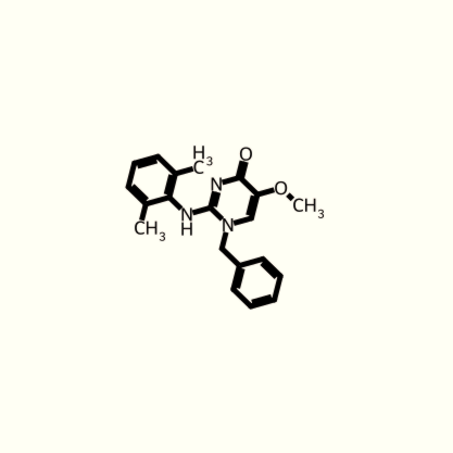 COc1cn(Cc2ccccc2)c(Nc2c(C)cccc2C)nc1=O